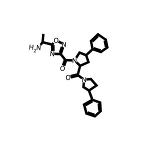 CC(N)c1nc(C(=O)N2CC(c3ccccc3)CC2C(=O)N2CCC(c3ccccc3)C2)no1